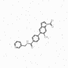 CCC(=O)n1ccc2cc(-c3ccc(C(=O)NCc4cccnc4)cc3)c(C)cc21